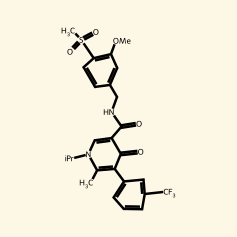 COc1cc(CNC(=O)c2cn(C(C)C)c(C)c(-c3cccc(C(F)(F)F)c3)c2=O)ccc1S(C)(=O)=O